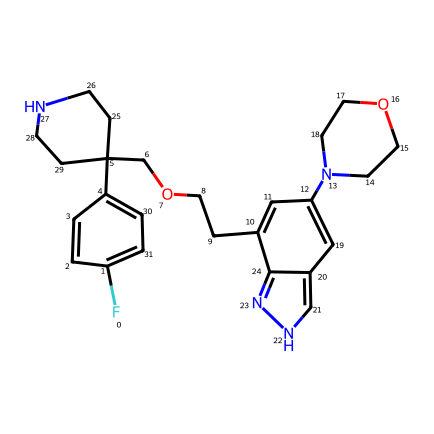 Fc1ccc(C2(COCCc3cc(N4CCOCC4)cc4c[nH]nc34)CCNCC2)cc1